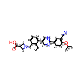 CCc1c(CN2CC(C(=O)O)C2)cccc1-c1cnc(-c2ccc(OC(C)C)c(C#N)c2)nc1